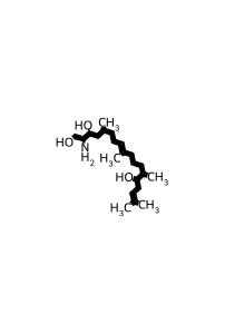 CC(C)=CCC(O)C(C)CCC/C(C)=C/CCC(C)C[C@@H](O)[C@@H](N)CO